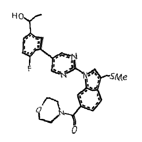 CSc1cn(-c2ncc(-c3cc(C(C)O)ccc3F)cn2)c2cc(C(=O)N3CCOCC3)ccc12